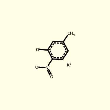 Cc1ccc([N+](=O)[O-])c([O-])c1.[K+]